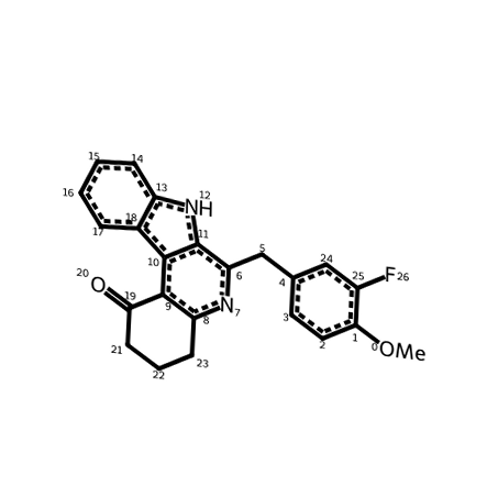 COc1ccc(Cc2nc3c(c4c2[nH]c2ccccc24)C(=O)CCC3)cc1F